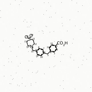 O=C(O)c1ccc(Cc2ccc(CN3CCS(=O)(=O)CC3)cc2)cc1